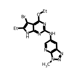 CCOc1nc(Nc2cnc3c(c2)nnn3C)nc2[nH]c(CC)c(Br)c12